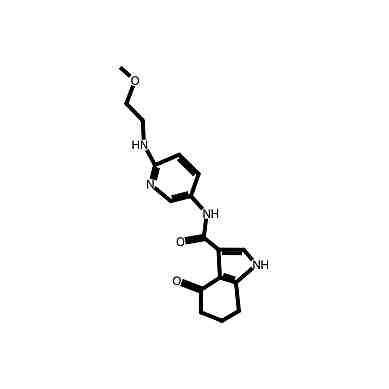 COCCNc1ccc(NC(=O)c2c[nH]c3c2C(=O)CCC3)cn1